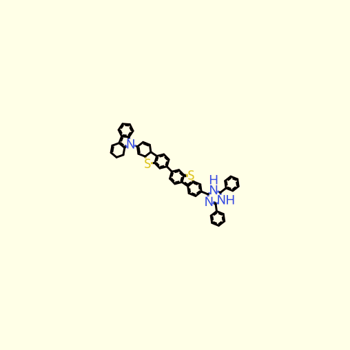 C1=Cc2c(n(C3=CC4Sc5cc(-c6ccc7c(c6)sc6cc(C8N=C(c9ccccc9)NC(c9ccccc9)N8)ccc67)ccc5C4C=C3)c3ccccc23)CC1